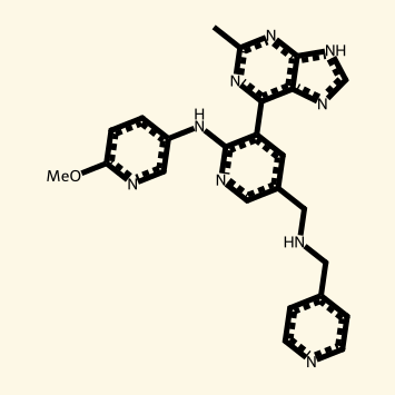 COc1ccc(Nc2ncc(CNCc3ccncc3)cc2-c2nc(C)nc3[nH]cnc23)cn1